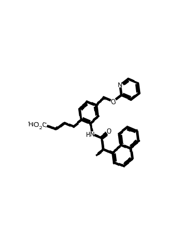 CC(C(=O)Nc1cc(COc2ccccn2)ccc1CCCC(=O)O)c1cccc2ccccc12